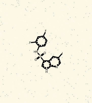 O=S(=O)(Nc1ccc(F)cc1F)c1c[nH]c2ncc(I)cc12